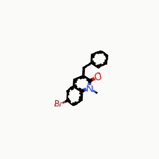 Cn1c(=O)c(Cc2ccccc2)cc2cc(Br)ccc21